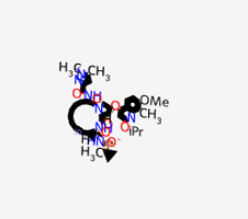 COc1ccc2c(O[C@@H]3C[C@H]4C(=O)N[C@]5(C(=O)N[S+]([O-])C6(C)CC6)C[C@H]5/C=C\CCCCC[C@H](NC(=O)c5cc(C)n(C)n5)C(=O)N4C3)cc(OC(C)C)nc2c1C